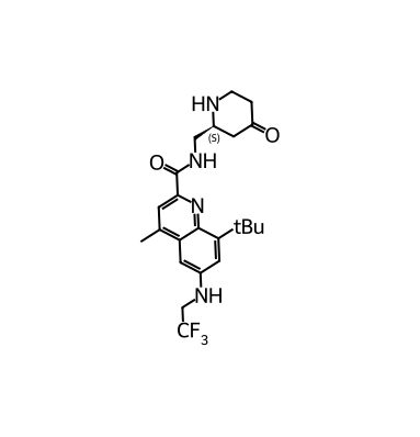 Cc1cc(C(=O)NC[C@@H]2CC(=O)CCN2)nc2c(C(C)(C)C)cc(NCC(F)(F)F)cc12